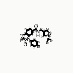 Cc1ccc(N(c2cc(C(=O)NCc3cnn(C(C)C)c3)ccc2C)[SH](=O)=O)cc1